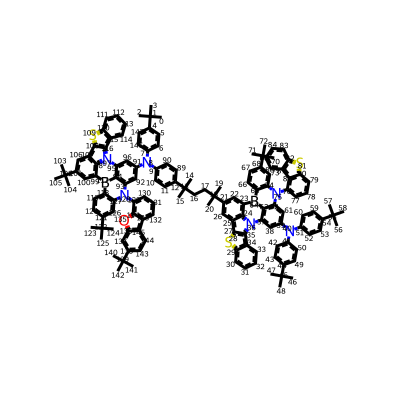 CC(C)(C)c1ccc(N(c2ccc(C(C)(C)CCC(C)(C)c3cc4c5c(c3)c3sc6ccccc6c3n5-c3cc(N(c5ccc(C(C)(C)C)cc5)c5ccc(C(C)(C)C)cc5)cc5c3B4c3ccc(C(C)(C)C)cc3N5c3cccc4sc5ccccc5c34)cc2)c2cc3c4c(c2)-n2c5c(cc(C(C)(C)C)cc5c5sc6ccccc6c52)B4c2ccc(C(C)(C)C)cc2N3c2cccc3c2oc2cc(C(C)(C)C)ccc23)cc1